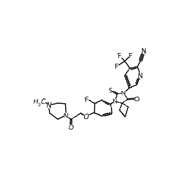 CN1CCN(C(=O)COC2C=CC(N3C(=S)N(c4cnc(C#N)c(C(F)(F)F)c4)C(=O)C34CCC4)=CC2F)CC1